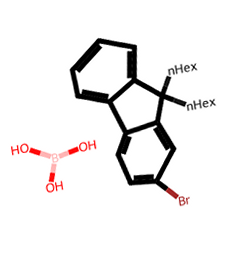 CCCCCCC1(CCCCCC)c2ccccc2-c2ccc(Br)cc21.OB(O)O